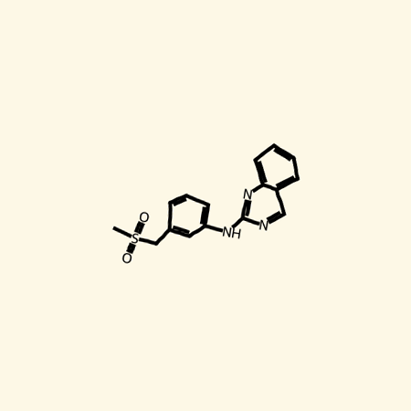 CS(=O)(=O)Cc1cccc(Nc2ncc3ccccc3n2)c1